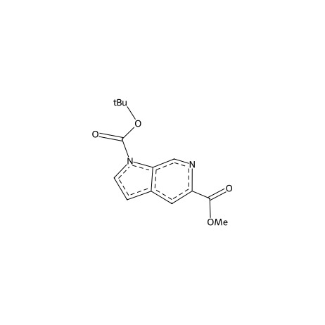 COC(=O)c1cc2ccn(C(=O)OC(C)(C)C)c2cn1